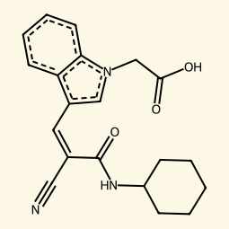 N#CC(=Cc1cn(CC(=O)O)c2ccccc12)C(=O)NC1CCCCC1